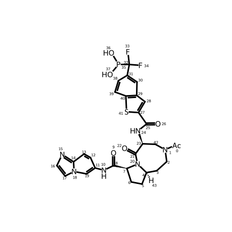 CC(=O)N1CC[C@H]2CC[C@@H](C(=O)Nc3ccc4nccn4c3)N2C(=O)[C@@H](NC(=O)c2cc3cc(C(F)(F)P(O)O)ccc3s2)C1